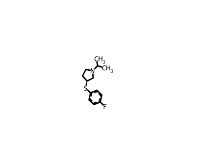 CC(C)N1CC[C@H](Sc2ccc(F)cc2)C1